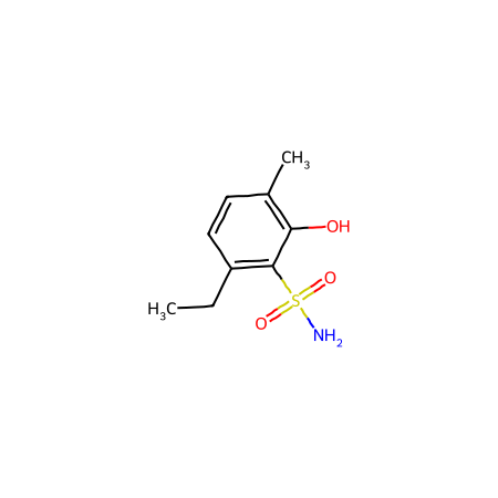 CCc1ccc(C)c(O)c1S(N)(=O)=O